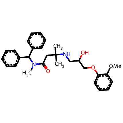 COc1ccccc1OCC(O)CNC(C)(C)CC(=O)N(C)C(c1ccccc1)c1ccccc1